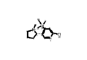 CN1CCC[C@H]1c1cnc(Cl)cc1[Si](C)(C)C